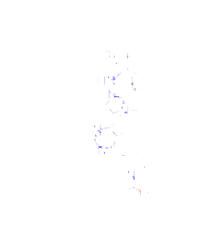 CC(=O)N1CCC(c2cc(-c3cnc(/C=C\C(=N)C(F)F)[nH]3)ncn2)C1